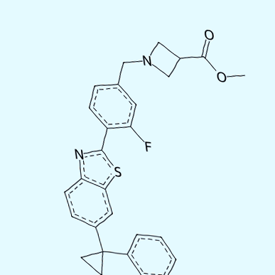 COC(=O)C1CN(Cc2ccc(-c3nc4ccc(C5(c6ccccc6)CC5)cc4s3)c(F)c2)C1